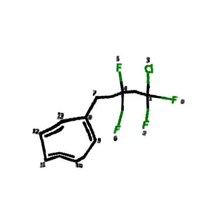 FC(F)(Cl)C(F)(F)Cc1ccccc1